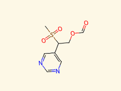 CS(=O)(=O)C(COC=O)c1cncnc1